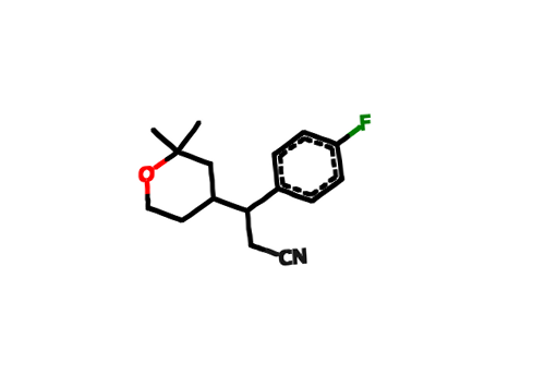 CC1(C)CC(C(CC#N)c2ccc(F)cc2)CCO1